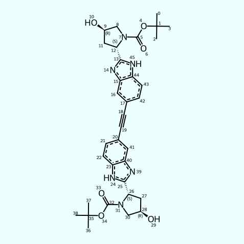 CC(C)(C)OC(=O)N1C[C@H](O)C[C@H]1c1nc2cc(C#Cc3ccc4[nH]c([C@@H]5C[C@@H](O)CN5C(=O)OC(C)(C)C)nc4c3)ccc2[nH]1